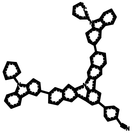 N#Cc1ccc(-c2cc3c4cc5ccc(-c6ccc7c(c6)c6ccccc6n7-c6ccccc6)cc5cc4n4c5cc6cc(-c7ccc8c(c7)c7ccccc7n8-c7ccccc7)ccc6cc5c(c2)c34)cc1